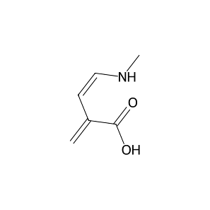 C=C(/C=C\NC)C(=O)O